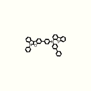 c1ccc(-c2ccc(N(c3ccc(-c4ccc5c(c4)oc4c5c5ccccc5n4-c4ccccc4)cc3)c3cccc4c3sc3ccccc34)cc2)cc1